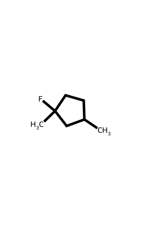 CC1CCC(C)(F)C1